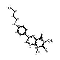 Cn1c(=O)c2nc(-c3ccc(OCCCN)cc3)nnc2n(C)c1=O